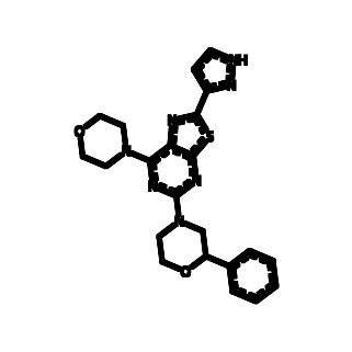 c1ccc(C2CN(c3nc(N4CCOCC4)c4nc(-c5cc[nH]n5)sc4n3)CCO2)cc1